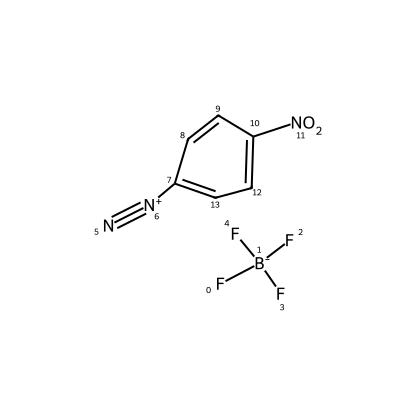 F[B-](F)(F)F.N#[N+]c1ccc([N+](=O)[O-])cc1